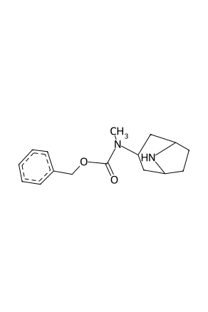 CN(C(=O)OCc1ccccc1)C1CC2CCC(C1)N2